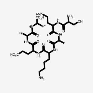 CSCCC(NC(=O)C(N)CO)C(=O)NC(C)C(=O)NC(CCCCN)C(=O)NC(CCC(=O)O)C(=O)NC(C(=O)NC(C(=O)O)C(C)C)C(C)C